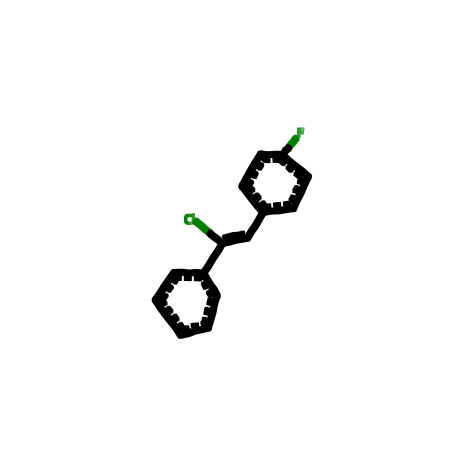 Fc1ccc(C=C(Cl)c2ccccc2)cc1